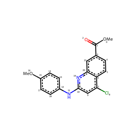 COC(=O)c1ccc2c(Cl)cc(Nc3ccc(OC)cc3)nc2c1